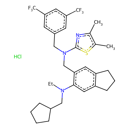 CCN(CC1CCCC1)c1cc2c(cc1CN(Cc1cc(C(F)(F)F)cc(C(F)(F)F)c1)c1nc(C)c(C)s1)CCC2.Cl